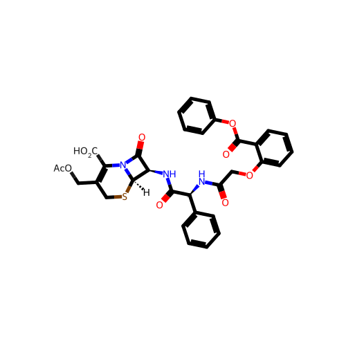 CC(=O)OCC1=C(C(=O)O)N2C(=O)[C@@H](NC(=O)[C@@H](NC(=O)COc3ccccc3C(=O)Oc3ccccc3)c3ccccc3)[C@H]2SC1